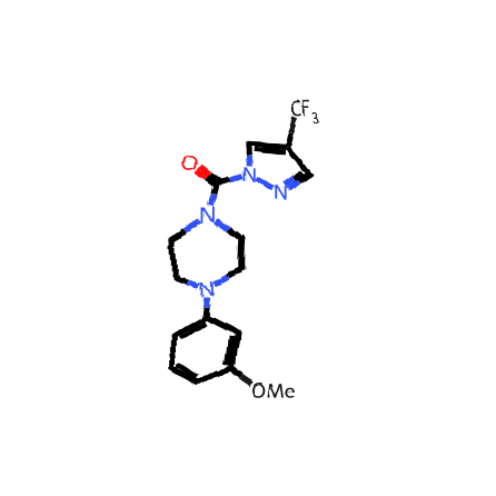 COc1cccc(N2CCN(C(=O)n3cc(C(F)(F)F)cn3)CC2)c1